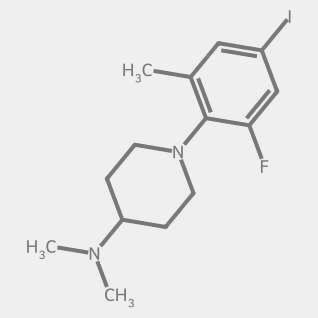 Cc1cc(I)cc(F)c1N1CCC(N(C)C)CC1